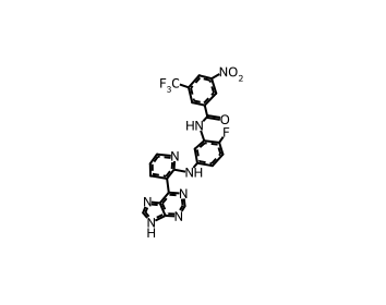 O=C(Nc1cc(Nc2ncccc2-c2ncnc3[nH]cnc23)ccc1F)c1cc([N+](=O)[O-])cc(C(F)(F)F)c1